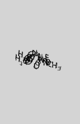 COc1ncc(-n2nc(-c3ccnc(C(C)OS(C)(=O)=O)c3)c3c2CCOCC3)cc1F